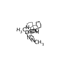 CN1CCCC(C(=O)O)(c2ccccc2)C1S(=O)(=O)c1cn(C)cn1